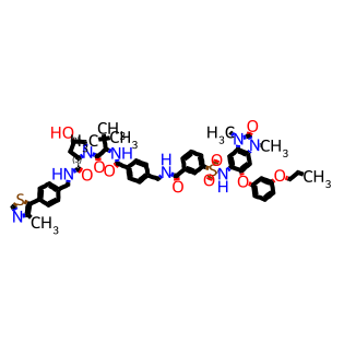 CCCOc1cccc(Oc2cc3c(cc2NS(=O)(=O)c2cccc(C(=O)NCc4ccc(C(=O)NC(C(=O)N5C[C@H](O)C[C@H]5C(=O)NCc5ccc(-c6scnc6C)cc5)C(C)(C)C)cc4)c2)n(C)c(=O)n3C)c1